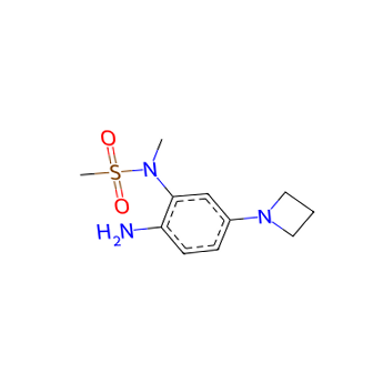 CN(c1cc(N2CCC2)ccc1N)S(C)(=O)=O